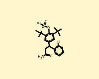 CC(C)(C)c1cc(C(CC(N)=O)c2ccccc2Cl)cc(C(C)(C)C)c1OS(=O)(=O)O